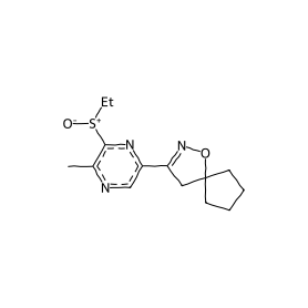 CC[S+]([O-])c1nc(C2=NOC3(CCCC3)C2)cnc1C